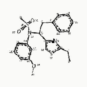 CCc1nc(C(Cc2cc[c]cc2)N(c2cccc(OC)c2)S(C)(=O)=O)cs1